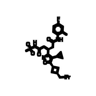 Cc1cc(F)ccc1NC(=O)C[C@H](CC(=O)NS(C)(=O)=O)c1noc([C@H]2C[C@@H](CC(C)C)C2)c1C1CC1